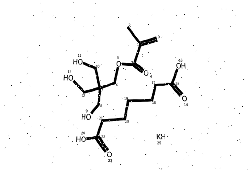 C=C(C)C(=O)OCC(CO)(CO)CO.O=C(O)CCCCCC(=O)O.[KH]